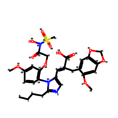 CCCCc1ncc(/C=C(\Cc2cc3c(cc2OC)OCO3)C(=O)O)n1-c1ccc(OC)cc1OCC(=O)N(O)S(C)(=O)=O